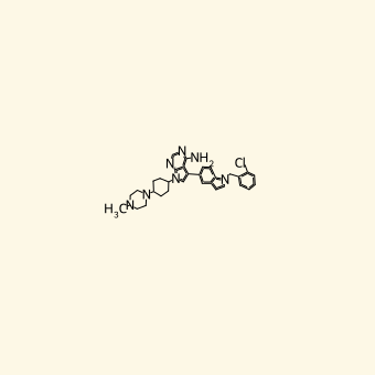 CN1CCN(C2CCC(n3cc(-c4ccc5c(ccn5Cc5ccccc5Cl)c4)c4c(N)ncnc43)CC2)CC1